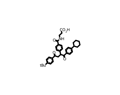 CC(C)(C)c1ccc(C(=O)CC(C(=O)c2ccc(C3CCCCC3)cc2)c2ccc(C(=O)NCCC(=O)O)cc2)cc1